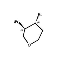 CC[C@@H]1CCOC[C@H]1C(C)C